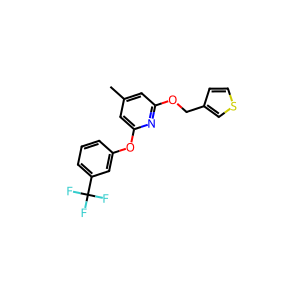 Cc1cc(OCc2ccsc2)nc(Oc2cccc(C(F)(F)F)c2)c1